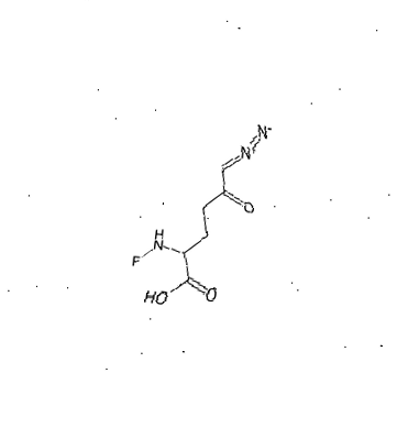 [N-]=[N+]=CC(=O)CCC(NF)C(=O)O